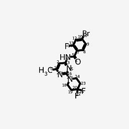 Cc1cc(NC(=O)c2ccc(Br)cc2F)nc(N2CCC(F)(F)CC2)n1